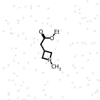 CCOC(=O)CC1CN(C)C1